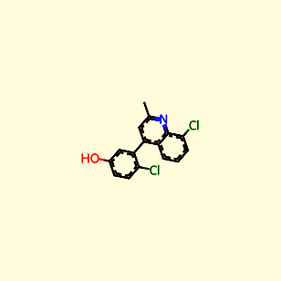 Cc1cc(-c2cc(O)ccc2Cl)c2cccc(Cl)c2n1